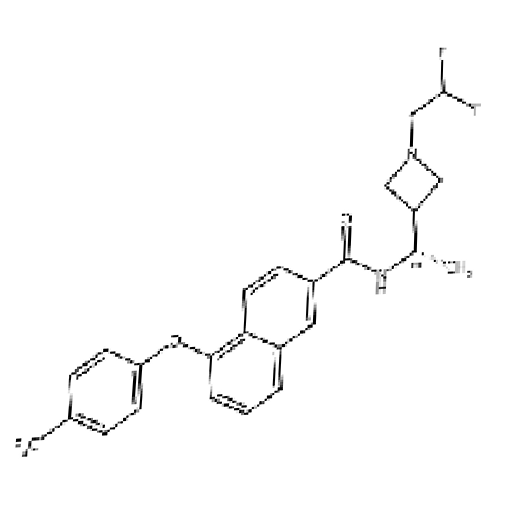 C[C@H](NC(=O)c1ccc2c(Oc3ccc(C(F)(F)F)cc3)cccc2c1)C1CN(CC(F)F)C1